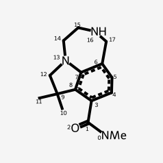 CNC(=O)c1ccc2c3c1C(C)(C)CN3CCNC2